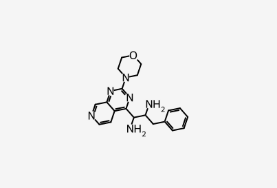 NC(Cc1ccccc1)C(N)c1nc(N2CCOCC2)nc2cnccc12